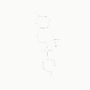 Cc1ccc(S(=O)(=O)N2CCc3cc(O)ccc3CC23CC3)cc1